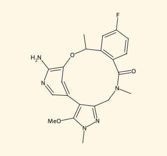 COc1c2c(nn1C)CN(C)C(=O)c1ccc(F)cc1C(C)Oc1cc-2cnc1N